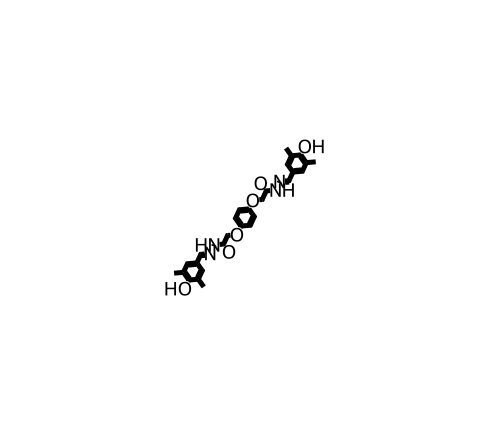 Cc1cc(/C=N/NC(=O)COc2ccc(OCC(=O)N/N=C/c3cc(C)c(O)c(C)c3)cc2)cc(C)c1O